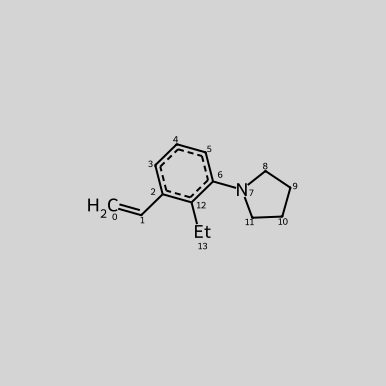 C=Cc1cccc(N2CCCC2)c1CC